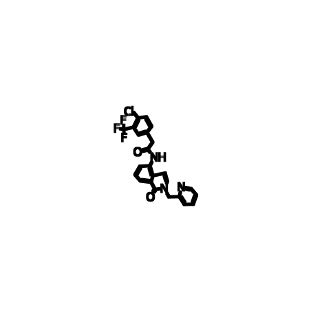 O=C(Cc1ccc(Cl)c(C(F)(F)F)c1)Nc1cccc2c(=O)n(Cc3ccccn3)ccc12